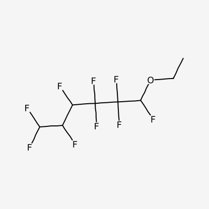 CCOC(F)C(F)(F)C(F)(F)C(F)C(F)C(F)F